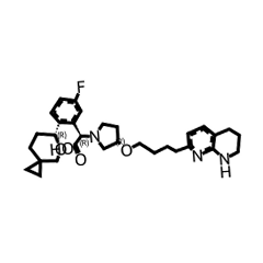 O=C(O)[C@@H](c1cc(F)ccc1[C@H]1CCC2(CC2)CO1)N1CC[C@@H](OCCCCc2ccc3c(n2)NCCC3)C1